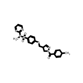 CC1C=CC(C(=O)N2CC(CSc3ccc(S(=O)(=O)N(C)c4ncccn4)cc3)C=N2)=CC1